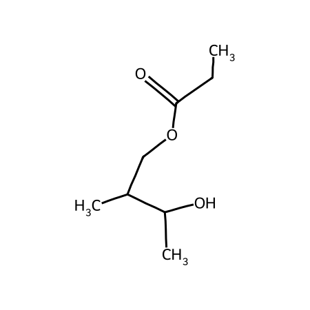 CCC(=O)OCC(C)C(C)O